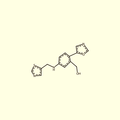 OCc1cc(NCc2cncs2)ccc1-c1cnco1